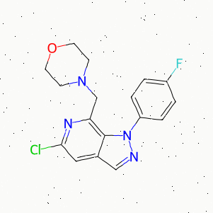 Fc1ccc(-n2ncc3cc(Cl)nc(CN4CCOCC4)c32)cc1